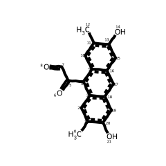 Cc1cc2c(C(=O)C=O)c3cc(C)c(O)cc3cc2cc1O